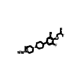 CCCC[Si@H]1CC[C@H](C2CCC(c3cc(F)c(OCC(F)F)c(F)c3)CC2)CC1